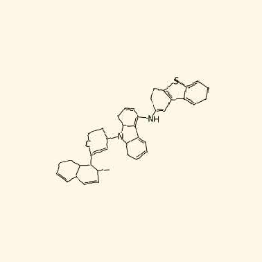 CC1C=CC2C=CCCC2C1C1=CC(N2C3CC=CC=C3C3=C(NC4=Cc5c(sc6c5=CCCC=6)CC4)C=CCC32)CCC1